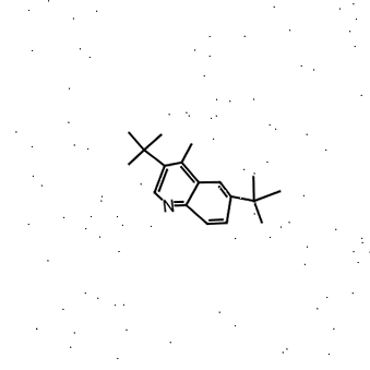 Cc1c(C(C)(C)C)cnc2ccc(C(C)(C)C)cc12